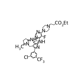 CCOC(=O)CCN1CCN(c2ncnc(Nc3nc(-c4cc(Cl)cc(C(F)(F)F)c4)c(CN4[C@H](C)CC[C@H]4N)s3)c2F)CC1